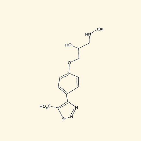 CC(C)(C)NCC(O)COc1ccc(-c2nnsc2C(=O)O)cc1